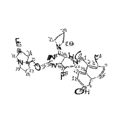 C#Cc1c(F)ccc2cc(O)cc(-c3ncc4c(N5CCC5)nc(OC[C@@]56CCCN5C[C@H](F)C6)nc4c3F)c12